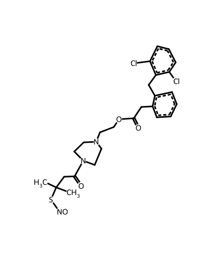 CC(C)(CC(=O)N1CCN(CCOC(=O)Cc2ccccc2Cc2c(Cl)cccc2Cl)CC1)SN=O